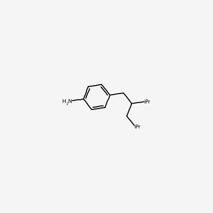 CC(C)CC(Cc1ccc(N)cc1)C(C)C